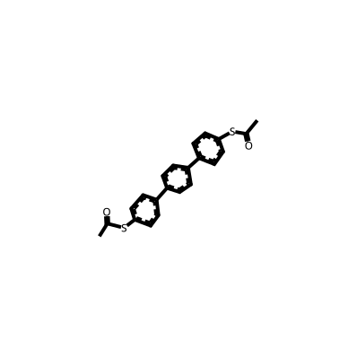 CC(=O)Sc1ccc(-c2ccc(-c3ccc(SC(C)=O)cc3)cc2)cc1